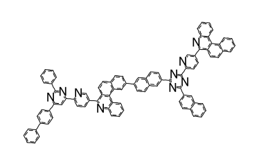 c1ccc(-c2ccc(-c3cc(-c4ccc(-c5nc6ccccc6c6c5ccc5ccc(-c7ccc8cc(-c9nc(-c%10ccc%11ccccc%11c%10)nc(-c%10ccc(-c%11nc%12ccccc%12c%12c%11ccc%11ccccc%11%12)cn%10)n9)ccc8c7)cc56)cn4)nc(-c4ccccc4)n3)cc2)cc1